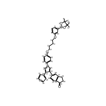 CC1(C)OB(c2cccc(OCCCCOc3ccc(-n4cc(-c5ccc6c(c5)CCC6=O)c(-c5ccncc5)n4)cc3)c2)OC1(C)C